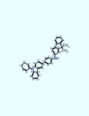 CC1(C)c2ccccc2-c2ccc(Nc3ccc(-c4ccc5c(c4)c4ccccc4n5C4=CCCC=C4)cc3)cc21